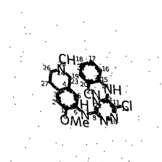 COc1cc2c(cc1Nc1nnc(Cl)c(Nc3ccccc3C#N)n1)CN(C)CC2